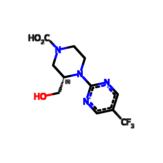 O=C(O)N1CCN(c2ncc(C(F)(F)F)cn2)[C@H](CO)C1